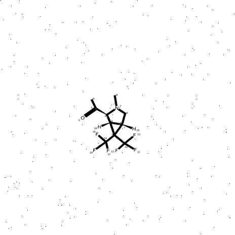 CC(=O)[C@@H]1[C@@H]2[C@H](CN1C)C2(C(F)(F)F)C(F)(F)F